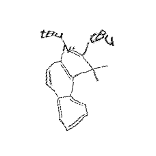 CC(C)(C)C1=[N+](C(C)(C)C)c2ccc3ccccc3c2C1(C)C